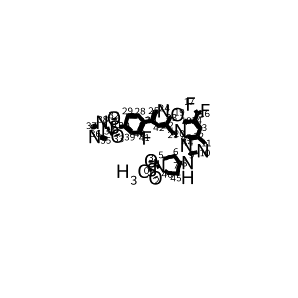 CS(=O)(=O)N1CCC(Nc2ncc3cc(C(F)F)c(=O)n(Cc4cncc(-c5ccc(S(=O)(=O)n6cncn6)cc5F)c4)c3n2)CC1